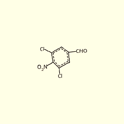 O=Cc1cc(Cl)c([N+](=O)[O-])c(Cl)c1